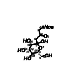 CCCCCCCCCCC(=O)C[C@]1(O)O[C@H](CO)[C@@H](O)[C@H](O)[C@@H]1O